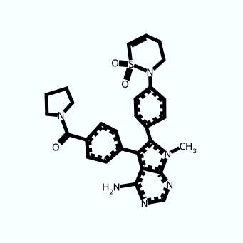 Cn1c(-c2ccc(N3CCC=CS3(=O)=O)cc2)c(-c2ccc(C(=O)N3CCCC3)cc2)c2c(N)ncnc21